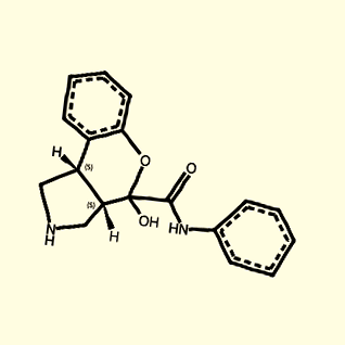 O=C(Nc1ccccc1)C1(O)Oc2ccccc2[C@H]2CNC[C@H]21